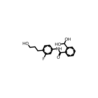 O=C(Nc1ccc(CCCO)c(F)c1)c1ccccc1C(O)O